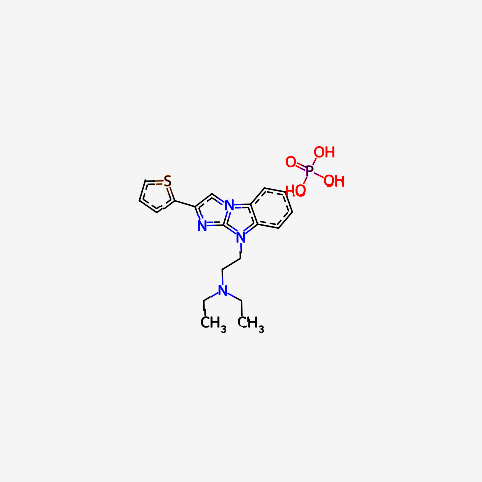 CCN(CC)CCn1c2ccccc2n2cc(-c3cccs3)nc12.O=P(O)(O)O